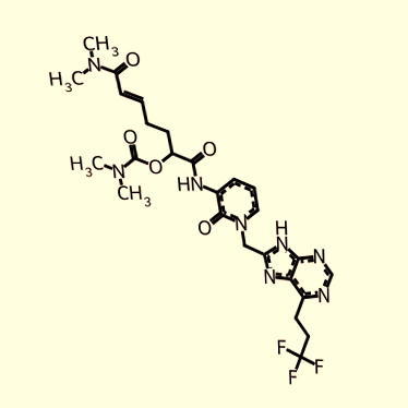 CN(C)C(=O)/C=C/CCC(OC(=O)N(C)C)C(=O)Nc1cccn(Cc2nc3c(CCC(F)(F)F)ncnc3[nH]2)c1=O